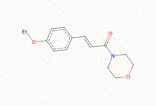 CCOc1ccc(/C=C/C(=O)N2CCOCC2)cc1